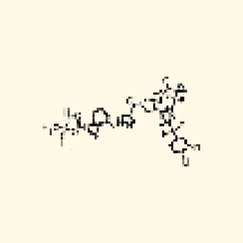 CC(C)(C)OC(=O)n1cnc2c(Cn3cc(C(=O)N4CC(c5nnc(C(F)(F)c6ccc(Cl)c(Cl)c6)o5)C5(C4)CN(C(=O)C4(C(F)(F)F)CC4)C5)cn3)cccc21